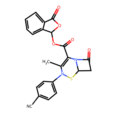 CC1=C(C(=O)OC2OC(=O)c3ccccc32)N2C(=O)CC2SN1c1ccc(C#N)cc1